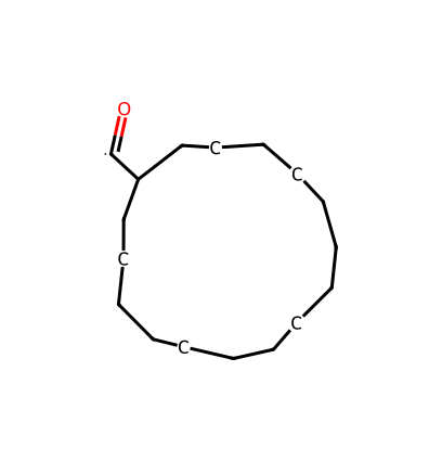 O=[C]C1CCCCCCCCCCCCCCC1